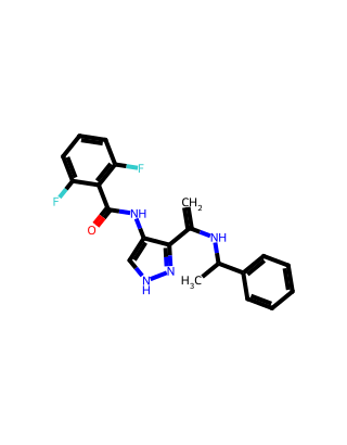 C=C(NC(C)c1ccccc1)c1n[nH]cc1NC(=O)c1c(F)cccc1F